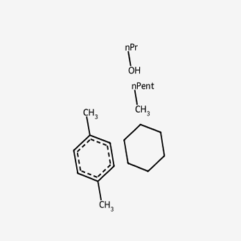 C1CCCCC1.CCCCCC.CCCO.Cc1ccc(C)cc1